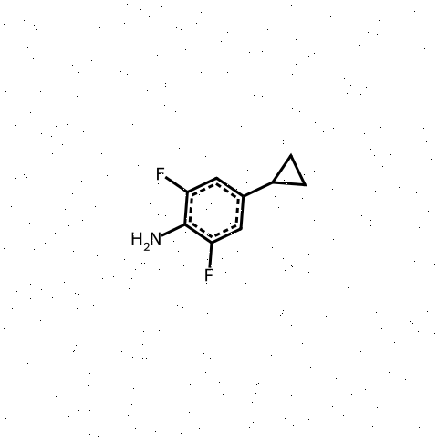 Nc1c(F)cc(C2CC2)cc1F